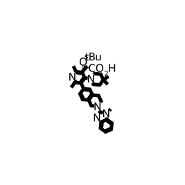 Cc1nc(C)c([C@H](OC(C)(C)C)C(=O)O)c(N2CCC(C)(C)CC2)c1-c1ccc2c(c1)CCN(c1nc3ccccc3n1C)C2